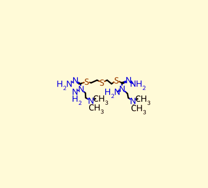 CN(C)CCN(N)/C(=N\N)SCCSCCS/C(=N/N)N(N)CCN(C)C